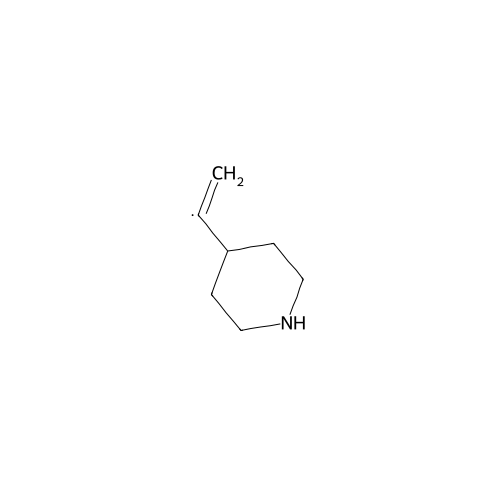 C=[C]C1CCNCC1